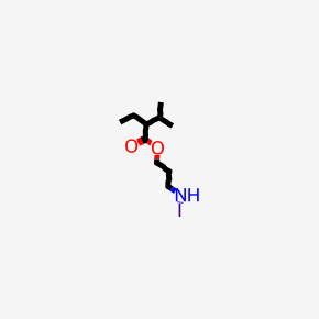 CCC(C(=O)OCCCNI)C(C)C